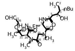 CCCC[C@@H](C)[C@@H](O)CC(=O)N[C@@H](CC)C(=O)N(C)CC(=O)N(C)[C@@H](CC(C)(C)OCC=O)C(N)=O